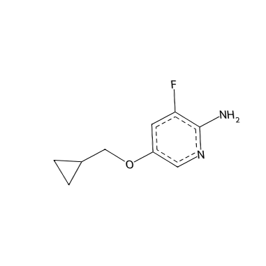 Nc1ncc(OCC2CC2)cc1F